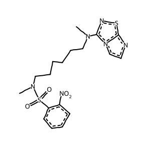 CN(CCCCCCN(C)S(=O)(=O)c1ccccc1[N+](=O)[O-])c1nsc2nccn12